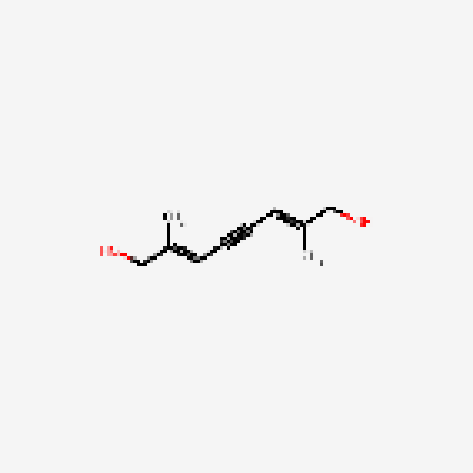 C/C(=C\C#C/C=C(\C)CO)CO